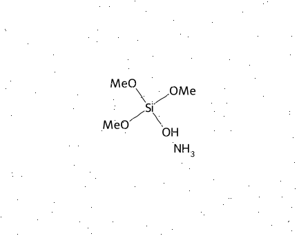 CO[Si](O)(OC)OC.N